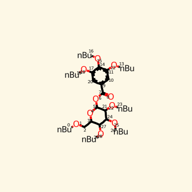 CCCCOCC1OC(OC(=O)c2cc(OCCCC)c(OCCCC)c(OCCCC)c2)C(OCCCC)C(OCCCC)C1OCCCC